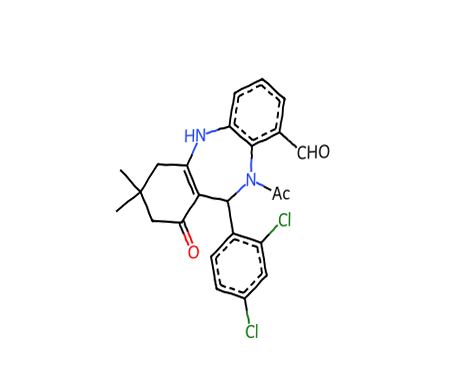 CC(=O)N1c2c(C=O)cccc2NC2=C(C(=O)CC(C)(C)C2)C1c1ccc(Cl)cc1Cl